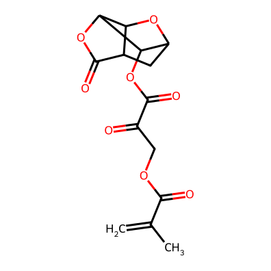 C=C(C)C(=O)OCC(=O)C(=O)OC1C2CC3C(=O)OC1C3O2